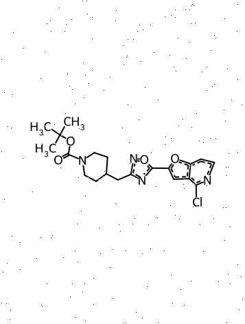 CC(C)(C)OC(=O)N1CCC(Cc2noc(-c3cc4c(Cl)nccc4o3)n2)CC1